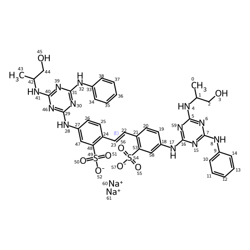 CC(CO)Nc1nc(Nc2ccccc2)nc(Nc2ccc(/C=C/c3ccc(Nc4nc(Nc5ccccc5)nc(NC(C)CO)n4)cc3S(=O)(=O)[O-])c(S(=O)(=O)[O-])c2)n1.[Na+].[Na+]